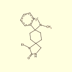 CCN1C(=O)NCC12CCC(c1ccccc1)(N(C)C)CC2